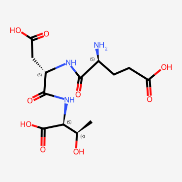 C[C@@H](O)[C@H](NC(=O)[C@H](CC(=O)O)NC(=O)[C@@H](N)CCC(=O)O)C(=O)O